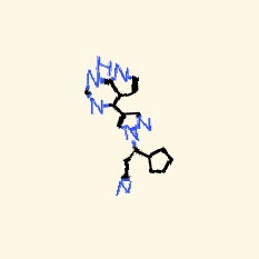 N#CC[C@H](C1CCCC1)n1cc(C2N=CN=C3NC#CC32)cn1